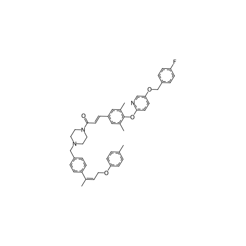 CC(=CCOc1ccc(C)cc1)c1ccc(CN2CCN(C(=O)C=Cc3cc(C)c(Oc4ccc(OCc5ccc(F)cc5)cn4)c(C)c3)CC2)cc1